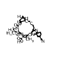 C[C@@H]1[C@@H]2CN(C(=O)[C@H](C(C)(C)C)NC(=O)O[C@@H]3C[C@@H]4C[C@@H]4[C@H]3CCCCCc3nc4ccc(C#N)cc4nc3O2)[C@@H]1C(=O)O